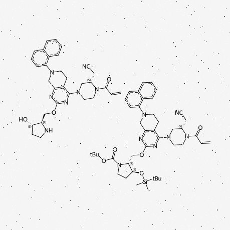 C=CC(=O)N1CCN(c2nc(OC[C@@H]3[C@@H](O[Si](C)(C)C(C)(C)C)CCN3C(=O)OC(C)(C)C)nc3c2CCN(c2cccc4ccccc24)C3)C[C@@H]1CC#N.C=CC(=O)N1CCN(c2nc(OC[C@H]3NCC[C@@H]3O)nc3c2CCN(c2cccc4ccccc24)C3)C[C@@H]1CC#N